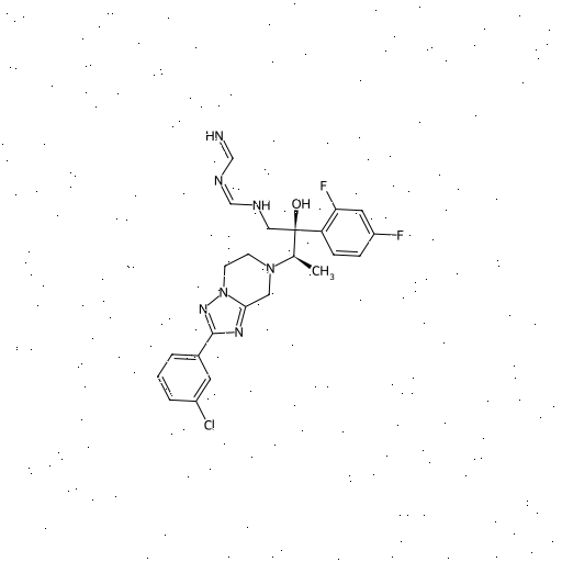 C[C@@H](N1CCn2nc(-c3cccc(Cl)c3)nc2C1)[C@](O)(CN/C=N\C=N)c1ccc(F)cc1F